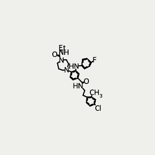 CCNC(=O)N1CCCN(c2ccc(C(=O)NCCc3ccc(Cl)cc3C)cc2Nc2ccc(F)cc2)CC1